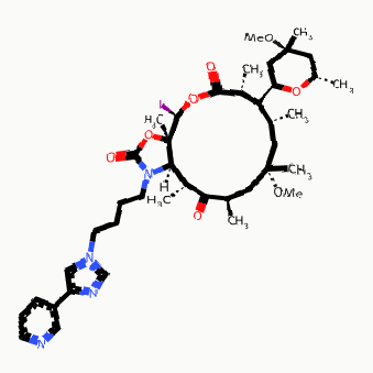 CO[C@@]1(C)C[C@H](C)O[C@@H](C2[C@H](C)C[C@](C)(OC)C[C@@H](C)C(=O)[C@H](C)[C@H]3N(CCCCn4cnc(-c5cccnc5)c4)C(=O)O[C@]3(C)[C@@H](I)OC(=O)[C@@H]2C)C1